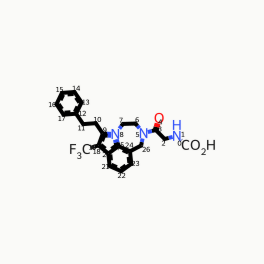 O=C(O)NCC(=O)N1CCn2c(CCc3ccccc3)c(C(F)(F)F)c3cccc(c32)C1